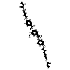 C=CC(=O)OCCCCCCOc1ccc(OC(=O)c2ccc(OC(=O)c3ccc(OCCCCOC(=O)C=C)cc3)c(OC)c2)cc1